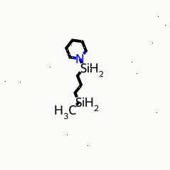 C[SiH2]CCC[SiH2]N1CCCCC1